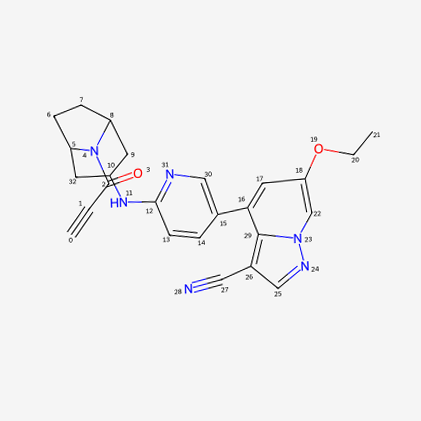 C#CC(=O)N1C2CCC1CC(Nc1ccc(-c3cc(OCC)cn4ncc(C#N)c34)cn1)C2